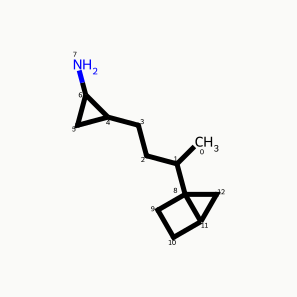 CC(CCC1CC1N)C12CCC1C2